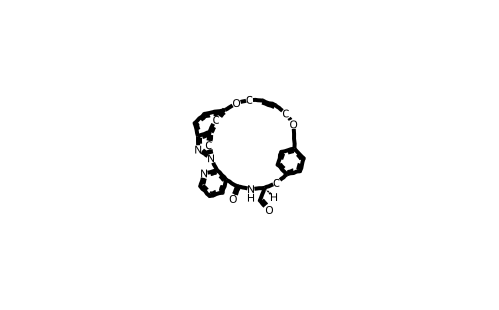 O=C[C@@H]1Cc2ccc(cc2)OC/C=C\COc2ccc3nn(cc3c2)-c2ncccc2C(=O)N1